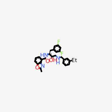 CCc1cccc(CNC[C@H](O)[C@H](Cc2cc(F)cc(F)c2)NC(=O)c2cccc3oc(C)nc23)c1